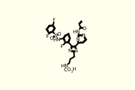 C=CC(=O)Nc1nccc(-c2sc(CCCNC(=O)O)nc2-c2cccc(NS(=O)(=O)c3cc(F)ccc3F)c2F)n1